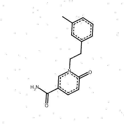 Cc1cccc(CCn2cc(C(N)=O)ccc2=O)c1